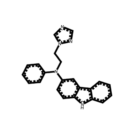 c1ccc(N(CCn2cncn2)c2ccc3[nH]c4ccccc4c3c2)cc1